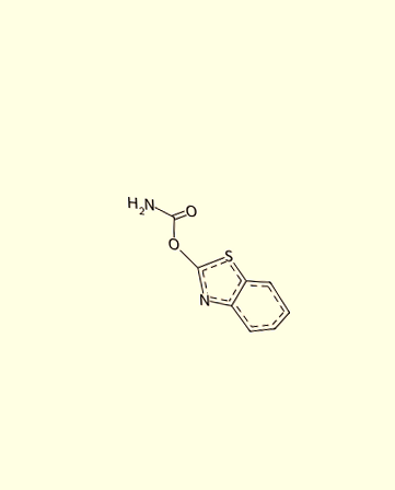 NC(=O)Oc1nc2ccccc2s1